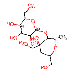 C[C@@H]1OC(CO)CC(O)(CO)C1O[C@@H]1OC(CO)[C@H](O)C(O)C1O